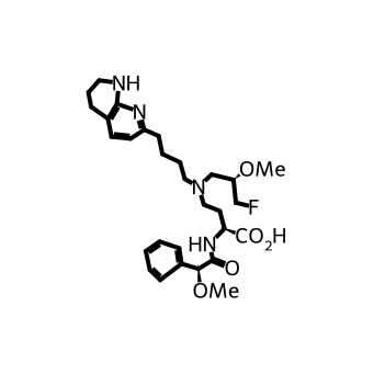 CO[C@H](CF)CN(CCCCc1ccc2c(n1)NCCC2)CC[C@H](NC(=O)[C@@H](OC)c1ccccc1)C(=O)O